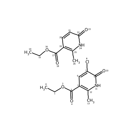 CCOC(=O)c1cc(Cl)c(=O)[nH]c1C.CCOC(=O)c1ccc(=O)[nH]c1C